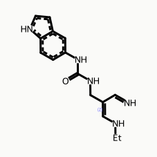 CCN/C=C(\C=N)CNC(=O)Nc1ccc2[nH]ccc2c1